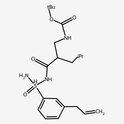 C=CCc1cccc([SH](N)(=O)NC(=O)C(CNC(=O)OC(C)(C)C)CC(C)C)c1